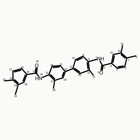 Cc1ccc(C(=O)Nc2ccc(-c3ccc(NC(=O)c4ccc(C)c(C)c4)c(C)c3)cc2C)cc1C